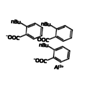 CCCCc1ccccc1C(=O)[O-].CCCCc1ccccc1C(=O)[O-].CCCCc1ccccc1C(=O)[O-].[Al+3]